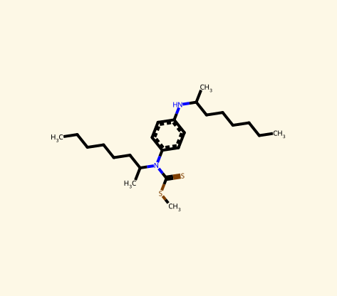 CCCCCCC(C)Nc1ccc(N(C(=S)SC)C(C)CCCCCC)cc1